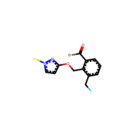 O=C(Br)c1cccc(CF)c1COc1ccn(S)n1